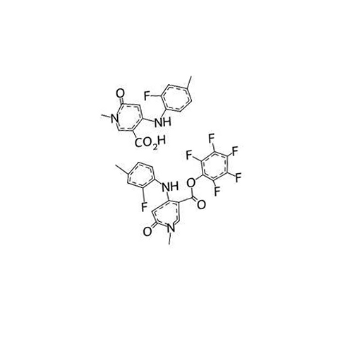 Cc1ccc(Nc2cc(=O)n(C)cc2C(=O)O)c(F)c1.Cc1ccc(Nc2cc(=O)n(C)cc2C(=O)Oc2c(F)c(F)c(F)c(F)c2F)c(F)c1